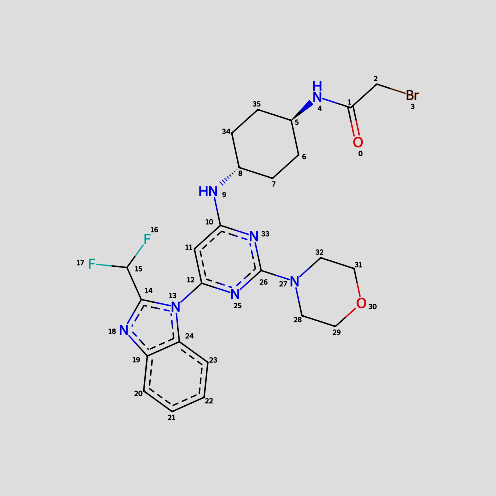 O=C(CBr)N[C@H]1CC[C@H](Nc2cc(-n3c(C(F)F)nc4ccccc43)nc(N3CCOCC3)n2)CC1